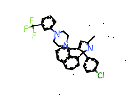 CC1=NC(c2ccc(Cl)cc2)(c2cccc3ccccc23)C(CN2CCN(c3cccc(C(F)(F)F)c3)CC2)=C1